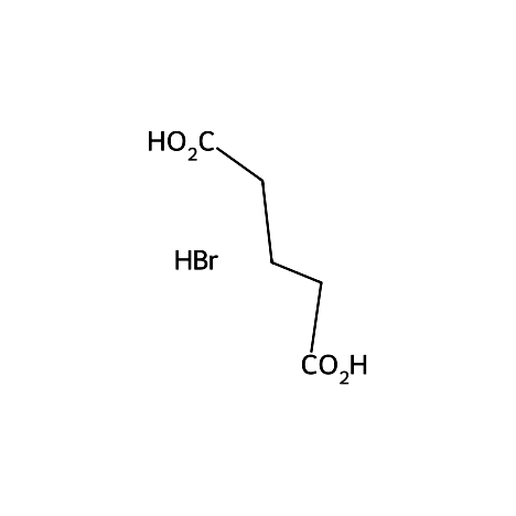 Br.O=C(O)CCCC(=O)O